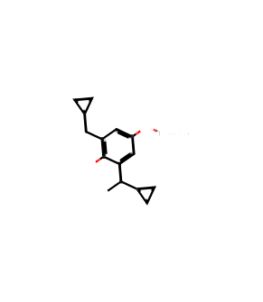 CC(c1cc(OC=O)cc(CC2CC2)c1O)C1CC1